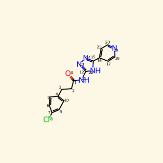 O=C(CCc1ccc(Cl)cc1)Nc1nnc(-c2ccncc2)[nH]1